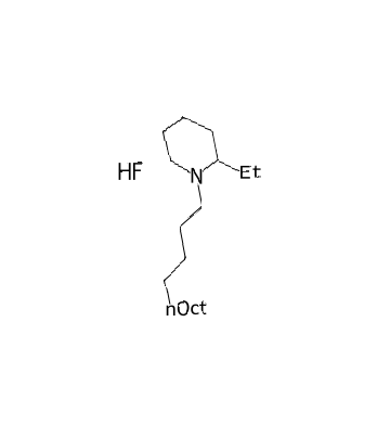 CCCCCCCCCCCCN1CCCCC1CC.F